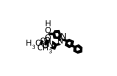 CC(C)(C)OC(=O)N1CCC(Cn2c(-c3ccc(-c4ccccc4)cc3)nc3ccc(C(=O)O)cc32)C1